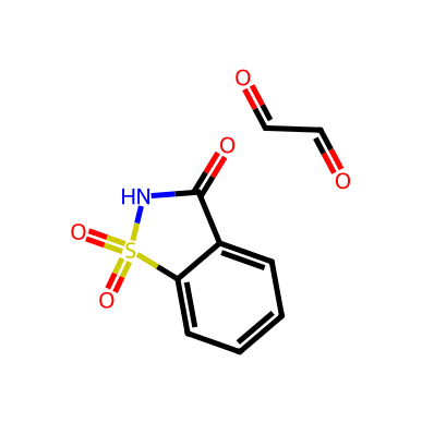 O=C1NS(=O)(=O)c2ccccc21.O=CC=O